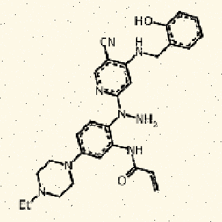 C=CC(=O)Nc1cc(N2CCN(CC)CC2)ccc1N(N)c1cc(NCc2ccccc2O)c(C#N)cn1